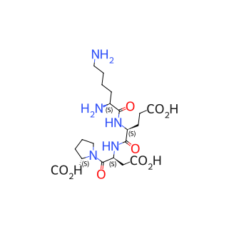 NCCCC[C@H](N)C(=O)N[C@@H](CCC(=O)O)C(=O)N[C@@H](CC(=O)O)C(=O)N1CCC[C@H]1C(=O)O